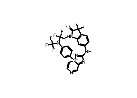 CC1(C)C(=O)Nc2cc(NC3=N[N+]4(c5ccc(N(C(F)(F)F)C(F)(F)F)cc5)C=CN=CC4=N3)ccc21